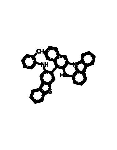 Cc1ccccc1Nc1cc2c(cc1-c1c3c(cc4ccccc14)-n1c4ccccc4c4cccc(c41)B3)sc1ccccc12